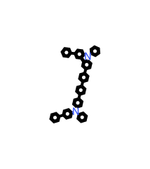 c1ccc(-c2ccc(N(c3ccccc3)c3ccc(-c4ccc(-c5ccc(-c6ccc7c(c6)c6cc(-c8ccccc8)ccc6n7-c6ccccc6)cc5)cc4)cc3)cc2)cc1